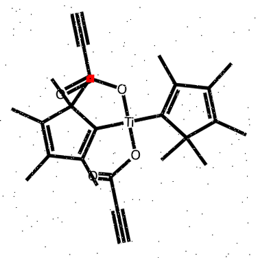 C#CC(=O)[O][Ti]([O]C(=O)C#C)([C]1=C(C)C(C)=C(C)C1(C)C)[C]1=C(C)C(C)=C(C)C1(C)C